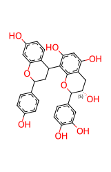 Oc1ccc(C2CC(c3c(O)cc(O)c4c3OC(c3ccc(O)c(O)c3)[C@@H](O)C4)c3ccc(O)cc3O2)cc1